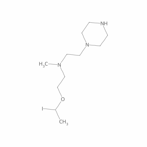 CC(I)OCCN(C)CCN1CCNCC1